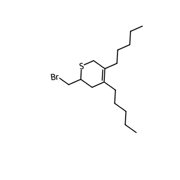 CCCCCC1=C(CCCCC)CC(CBr)SC1